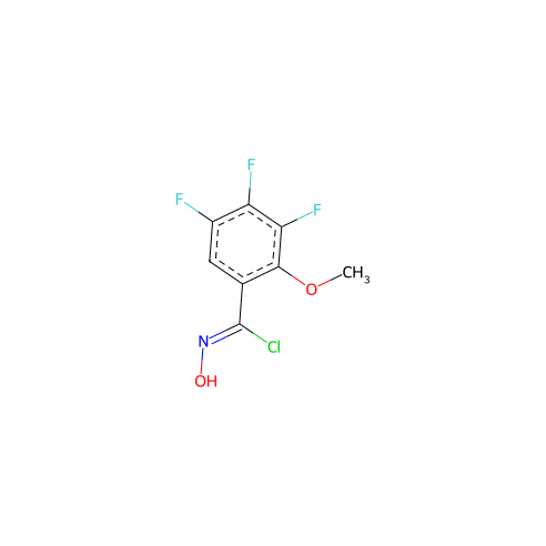 COc1c(C(Cl)=NO)cc(F)c(F)c1F